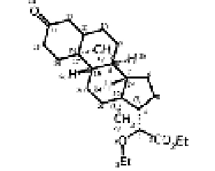 CCOC(=O)C(OCC)[C@H]1CC[C@H]2[C@@H]3CCC4CC(=O)CC[C@]4(C)[C@H]3CC[C@]12C